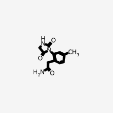 Cc1ccc(CC(N)=O)c(N2C(=O)CNC2=O)c1